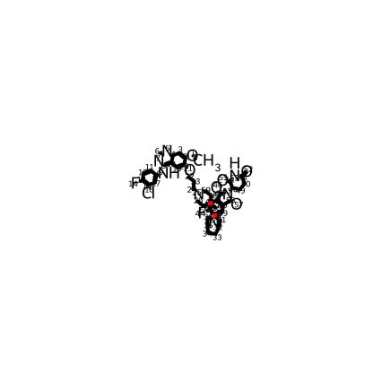 COc1cc2ncnc(Nc3ccc(F)c(Cl)c3)c2cc1OCCCN1CCC(CN2CC3CCC(C2)N3c2cc3c(cc2F)C(=O)N(C2CCC(=O)NC2=O)C3=O)CC1